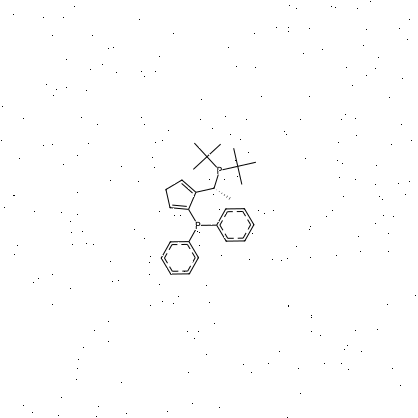 C[C@H](C1=CCC=C1P(c1ccccc1)c1ccccc1)P(C(C)(C)C)C(C)(C)C